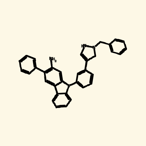 Nc1cc2c(cc1-c1ccccc1)c1ccccc1n2-c1cccc(C2=CNN(Cc3ccccc3)C2)c1